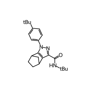 CC(C)(C)NC(=O)c1nn(-c2ccc(C(C)(C)C)cc2)c2c1C1CCC2C1